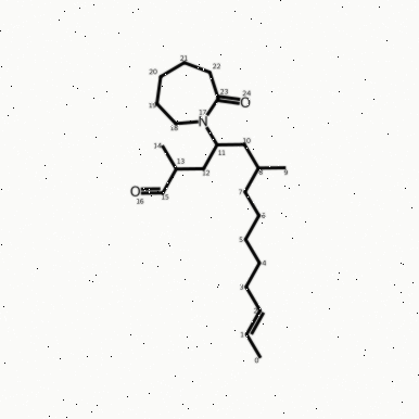 CC=CCCCCCC(C)CC(CC(C)C=O)N1CCCCCC1=O